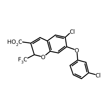 O=C(O)C1=Cc2cc(Cl)c(Oc3cccc(Cl)c3)cc2OC1C(F)(F)F